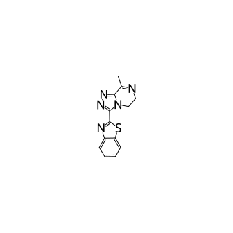 CC1=NCCn2c1nnc2-c1nc2ccccc2s1